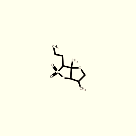 CCCC1C2(C)OCC(C)C2OS1(=O)=O